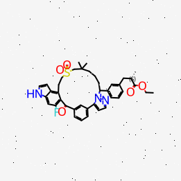 CCOC(=O)[C@@H](C)Cc1cccc(C2CCCC(C)(C)CS(=O)(=O)CCc3c(c(F)cc4[nH]ccc34)C(=O)c3cccc(c3)-c3ccnn32)c1